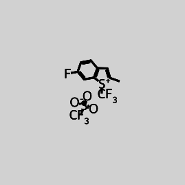 Cc1cc2ccc(F)cc2[s+]1C(F)(F)F.O=S(=O)([O-])C(F)(F)F